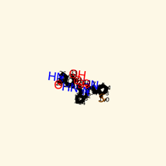 CSc1cccc2[nH]c(C(=O)N3CC4CCCC4C3C(=O)NC(CC3CCNC3=O)C(=O)CO)cc12